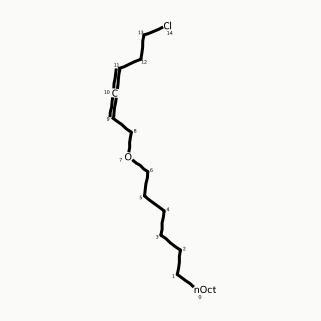 CCCCCCCCCCCCCCOCC=C=CCCCl